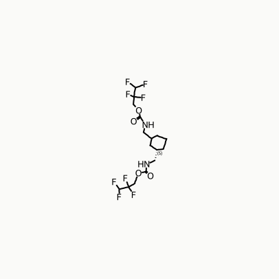 O=C(NCC1CCC[C@H](CNC(=O)OCC(F)(F)C(F)F)C1)OCC(F)(F)C(F)F